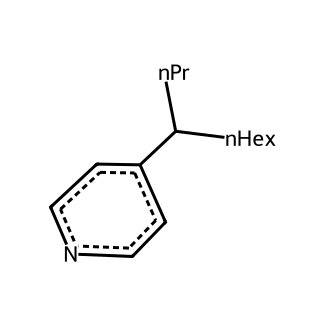 CCCCCCC(CCC)c1ccncc1